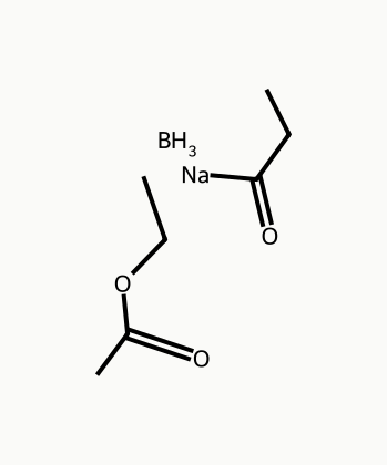 B.CCOC(C)=O.CC[C](=O)[Na]